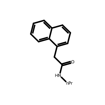 CCCNC(=O)Cc1cccc2ccccc12